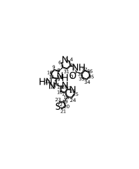 O=C(Nc1cncc(-c2ccc3[nH]nc(-c4cc5c(-c6ccsc6)ccnc5[nH]4)c3n2)c1)c1ccccc1